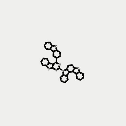 c1ccc2c(c1)oc1ccc(-c3nc(-n4c5ccccc5c5c6c(ccc54)sc4ccccc46)nc4sc5ccccc5c34)cc12